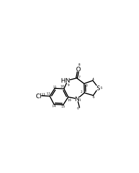 CN1C2=C(CSC2)C(=O)Nc2cc(Cl)ccc21